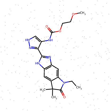 CCN1C(=O)C(C)(C)c2cc3[nH]c(-c4n[nH]cc4NC(=O)OCCOC)nc3cc21